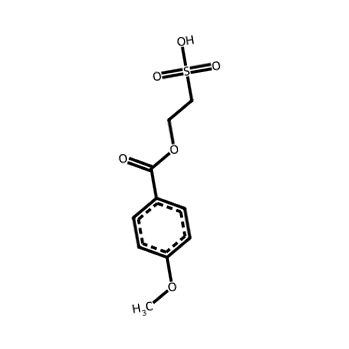 COc1ccc(C(=O)OCCS(=O)(=O)O)cc1